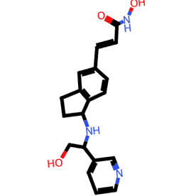 O=C(C=Cc1ccc2c(c1)CCC2NC(CO)c1cccnc1)NO